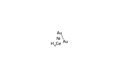 [Au][Au].[GeH4].[Ni]